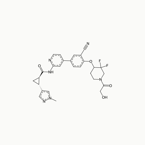 Cn1cc([C@@H]2C[C@H]2C(=O)Nc2cc(-c3ccc(OC4CCN(C(=O)CO)CC4(F)F)c(C#N)c3)ccn2)cn1